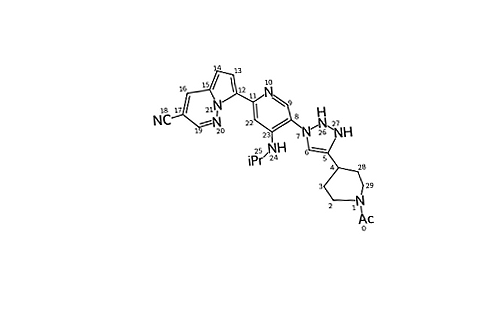 CC(=O)N1CCC(C2=CN(c3cnc(-c4ccc5cc(C#N)cnn45)cc3NC(C)C)NN2)CC1